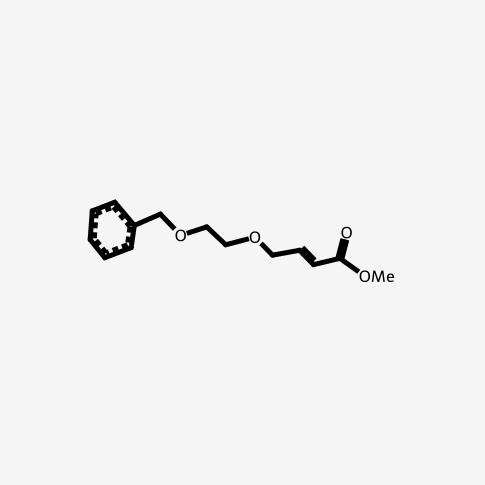 COC(=O)C=CCOCCOCc1ccccc1